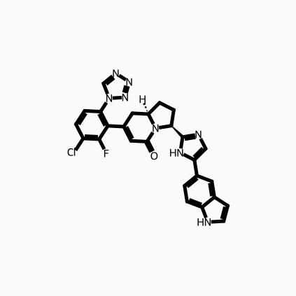 O=C1C=C(c2c(-n3cnnn3)ccc(Cl)c2F)C[C@H]2CC[C@@H](c3ncc(-c4ccc5[nH]ccc5c4)[nH]3)N12